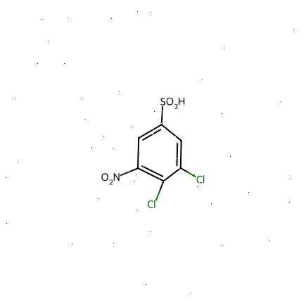 O=[N+]([O-])c1cc(S(=O)(=O)O)cc(Cl)c1Cl